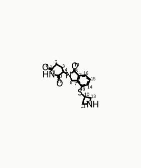 O=C1CCC(N2Cc3c(SC4CNC4)cccc3C2=O)C(=O)N1